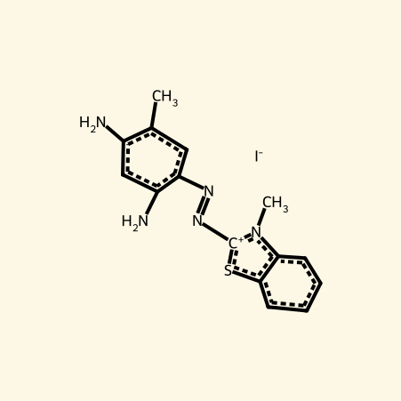 Cc1cc(N=N[c+]2sc3ccccc3n2C)c(N)cc1N.[I-]